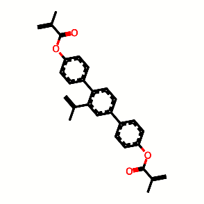 C=C(C)C(=O)Oc1ccc(-c2ccc(-c3ccc(OC(=O)C(=C)C)cc3)c(C(=C)C)c2)cc1